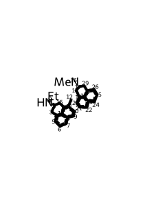 CCNC1Cc2cccc3ccc(C)c(c23)C1.CNC1Cc2cccc3cccc(c23)C1